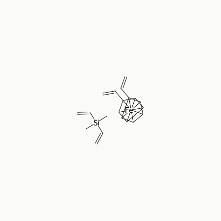 C=C[C]12[CH]3[CH]4[CH]5[CH]1[Fe]45321678[CH]2[CH]1[CH]6[C]7(C=C)[CH]28.C=C[Si](C)(C)C=C